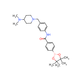 CN(C)C1CCN(Cc2ccc(NC(=O)c3ccc(B4OC(C)(C)C(C)(C)O4)cc3)cc2)CC1